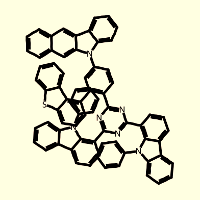 c1ccc(-n2c3ccccc3c3cccc(-c4nc(-c5ccc(-n6c7ccccc7c7cc8ccccc8cc76)cc5-c5cccc6sc7ccccc7c56)nc(-c5cccc6c7ccccc7n(-c7ccccc7)c56)n4)c32)cc1